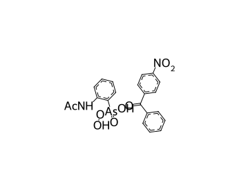 CC(=O)Nc1ccccc1[As](=O)(O)OO.O=C(c1ccccc1)c1ccc([N+](=O)[O-])cc1